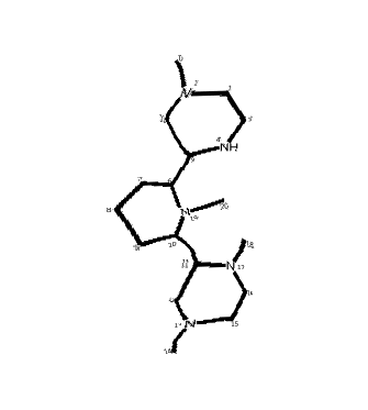 CN1CCNC(C2CCCC(C3CN(C)CCN3C)N2C)C1